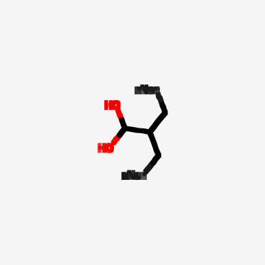 CCCCCCCCCCC(CCCCCCCCCC)C(O)O